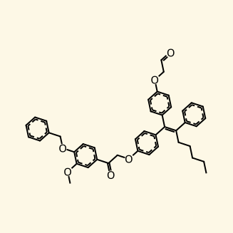 CCCCC/C(=C(/c1ccc(OCC=O)cc1)c1ccc(OCC(=O)c2ccc(OCc3ccccc3)c(OC)c2)cc1)c1ccccc1